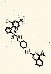 CN(C)c1nc(NC[C@H]2CC[C@H](CNS(=O)(=O)c3cccn3-c3ncc(C(F)(F)F)cc3Cl)CC2)nc2ccccc12